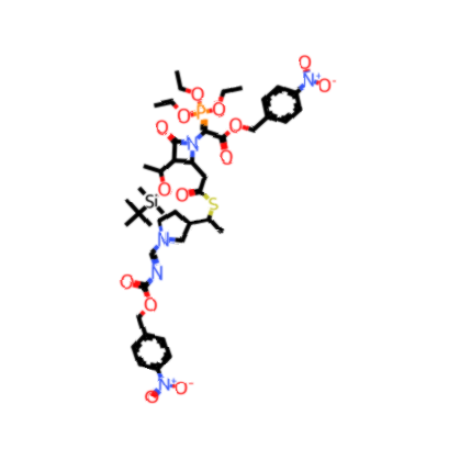 CCOP(OCC)(OCC)=C(C(=O)OCc1ccc([N+](=O)[O-])cc1)N1C(=O)C(C(C)O[Si](C)(C)C(C)(C)C)C1CC(=O)SC(C)C1CCN(C=NC(=O)OCc2ccc([N+](=O)[O-])cc2)C1